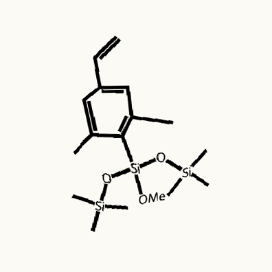 C=Cc1cc(C)c([Si](OC)(O[Si](C)(C)C)O[Si](C)(C)C)c(C)c1